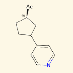 CC(=O)[C@@H]1CCC(c2ccncc2)C1